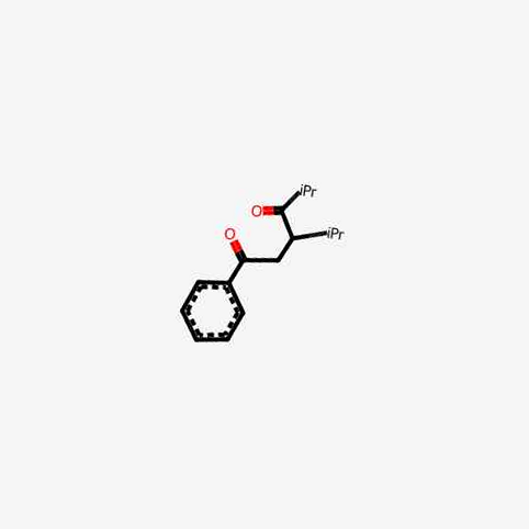 CC(C)C(=O)C(CC(=O)c1ccccc1)C(C)C